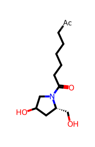 CC(=O)CCCCCC(=O)N1CC(O)C[C@H]1CO